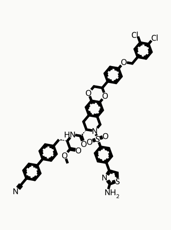 COC(=O)[C@H](Cc1ccc(-c2ccc(C#N)cc2)cc1)NC(=O)[C@@H]1Cc2cc3c(cc2CN1S(=O)(=O)c1ccc(-c2csc(N)n2)cc1)OC(c1ccc(OCc2ccc(Cl)c(Cl)c2)cc1)CO3